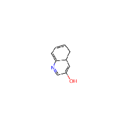 OC1=CC2CC=CC=C2N=C1